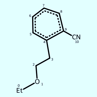 CCOCCc1ccccc1C#N